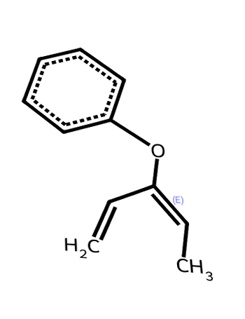 C=C/C(=C\C)Oc1ccccc1